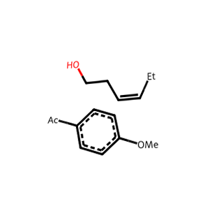 CC/C=C\CCO.COc1ccc(C(C)=O)cc1